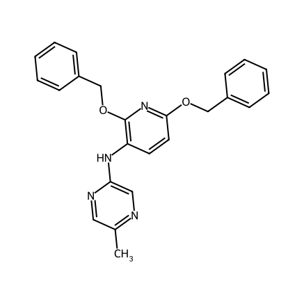 Cc1cnc(Nc2ccc(OCc3ccccc3)nc2OCc2ccccc2)cn1